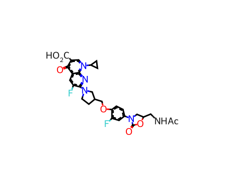 CC(=O)NCC1CN(c2ccc(OCC3CCN(c4nc5c(cc4F)c(=O)c(C(=O)O)cn5C4CC4)C3)c(F)c2)C(=O)O1